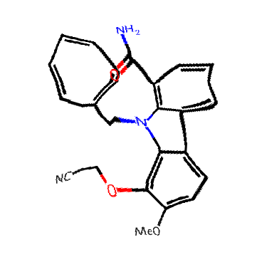 COc1ccc2c3cccc(C(N)=O)c3n(Cc3ccccc3)c2c1OCC#N